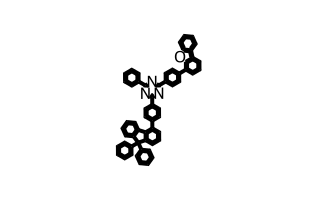 c1ccc(-c2nc(-c3ccc(-c4cccc5c4-c4ccccc4C5(c4ccccc4)c4ccccc4)cc3)nc(-c3ccc(-c4cccc5c4oc4ccccc45)cc3)n2)cc1